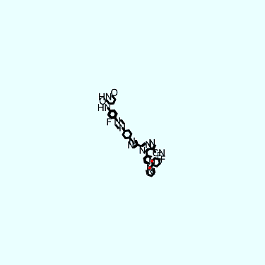 N#Cc1cnn2cc(-c3cnn(C4CCC(N5CCN(c6ccc(NC7CCC(=O)NC7=O)cc6F)CC5)CC4)c3)nc(-c3ccc(N4CC5CC(C4)N5CC4CCC(F)(F)CC4)nc3)c12